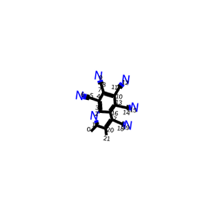 Cc1nc2c(C#N)c(C#N)c(C#N)c(C#N)c2c(C#N)c1C